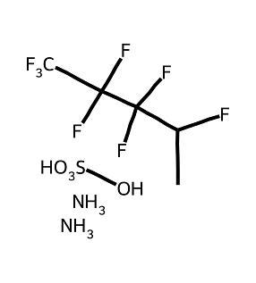 CC(F)C(F)(F)C(F)(F)C(F)(F)F.N.N.O=S(=O)(O)O